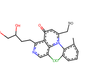 Cc1cccc(Cl)c1-n1c(CN=O)cc(=O)c2c(CCC(O)CO)ncc(Cl)c21